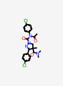 CC(=O)N(C(=O)N1CC(C)(C(=O)N(C)C)C(c2ccc(Cl)cc2)=N1)c1ccc(Cl)cc1